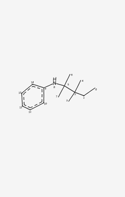 CCC(C)(C)C(C)(C)Nc1ccccc1